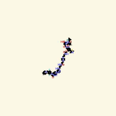 Cc1ncsc1-c1ccc(CNC(=O)[C@@H]2C[C@@H](O)CN2C(=O)[C@@H](NC(=O)C2(F)CC2)C(C)(C)C)c(OCC(=O)NCCCN2CCN(CCC(=O)NCCCNc3cc(N4CCC5(CC4)CN(c4cc(F)c(CN6CCC(C)(C)CC6)cc4F)CC(=O)N5)ncn3)CC2)c1